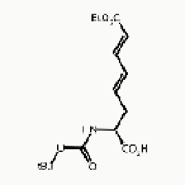 CCOC(=O)C=CC=CC[C@H](NC(=O)OC(C)(C)C)C(=O)O